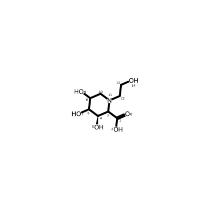 O=C(O)C1[C@@H](O)C(O)C(O)CN1CCO